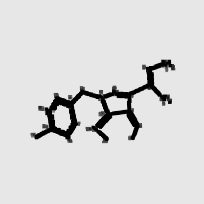 C/C=C1/C(/C(N)=N/N)=NN(Cc2cnc(C)nc2)/C1=N/C